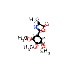 C=C1N=C(c2cc(OC)c(OC)c(OC)c2)OC1=O